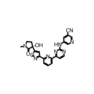 CN1CC[C@@](O)(c2cc(-c3cccc(-c4ccnc(Nc5cncc(C#N)c5)n4)n3)no2)C1=O